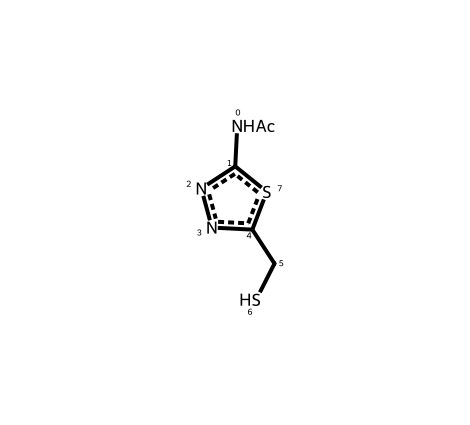 CC(=O)Nc1nnc(CS)s1